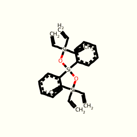 C=C[Si](C=C)(C=C)O[Si](O[Si](C=C)(C=C)C=C)(c1ccccc1)c1ccccc1